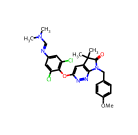 COc1ccc(CN2C(=O)C(C)(C)c3cc(Oc4c(Cl)cc(N=CN(C)C)cc4Cl)nnc32)cc1